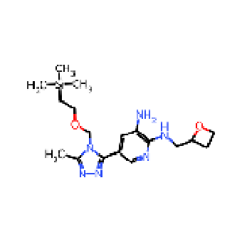 Cc1nnc(-c2cnc(NCC3CCO3)c(N)c2)n1COCC[Si](C)(C)C